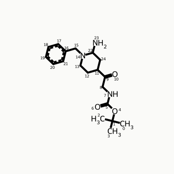 CC(C)(C)OC(=O)NCC(=O)C1CCN(Cc2ccccc2)C(N)C1